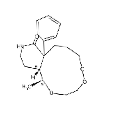 C[C@@H]1OCCOCCCCC2(c3ccccc3)C(=O)NCC[C@@H]12